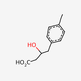 Cc1ccc(CC(O)CC(=O)O)cc1